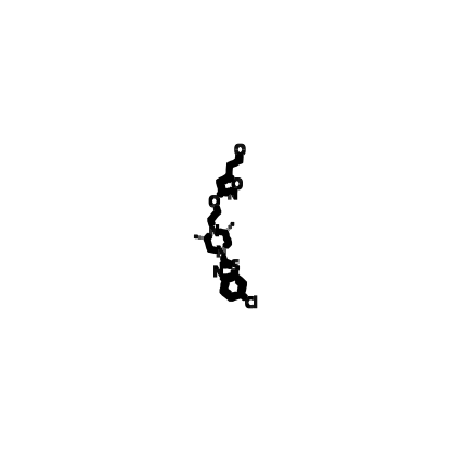 C[C@@H]1CN(c2nc3ccc(Cl)cc3s2)C[C@H](C)N1CCOc1cc(CC=O)on1